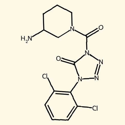 NC1CCCN(C(=O)n2nnn(-c3c(Cl)cccc3Cl)c2=O)C1